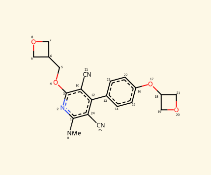 CNc1nc(OCC2COC2)c(C#N)c(-c2ccc(OC3COC3)cc2)c1C#N